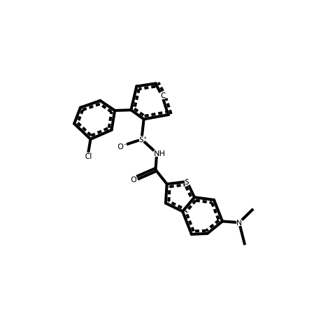 CN(C)c1ccc2cc(C(=O)N[S+]([O-])c3ccccc3-c3cccc(Cl)c3)sc2c1